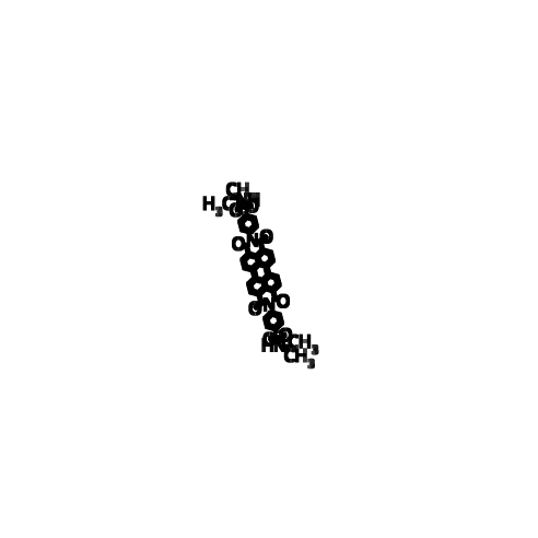 CC(C)NS(=O)(=O)c1ccc(N2C(=O)c3ccc4c5ccc6c7c(ccc(c8ccc(c3c48)C2=O)c75)C(=O)N(c2ccc(S(=O)(=O)NC(C)C)cc2)C6=O)cc1